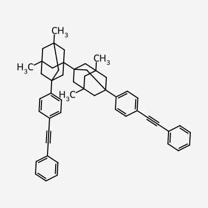 CC12CC3(C)CC(c4ccc(C#Cc5ccccc5)cc4)(C1)CC(C14CC5(C)CC(C)(CC(c6ccc(C#Cc7ccccc7)cc6)(C5)C1)C4)(C2)C3